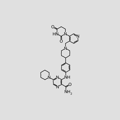 NC(=O)c1ncc(N2CCCCC2)nc1Nc1ccc(C2CCN(Cc3ccncc3N3CCC(=O)NC3=O)CC2)cc1